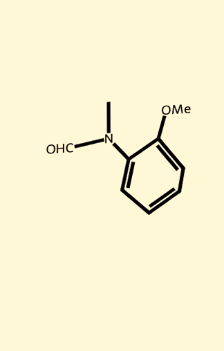 COc1ccccc1N(C)C=O